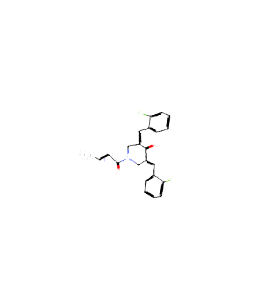 C/C=C/C(=O)N1CC(=Cc2ccccc2F)C(=O)C(=Cc2ccccc2F)C1